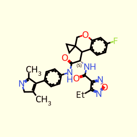 CCc1nonc1C(=O)N[C@H](C(=O)Nc1ccc(C2=C(C)CN=C2C)cc1)C1c2ccc(F)cc2OCC12CC2